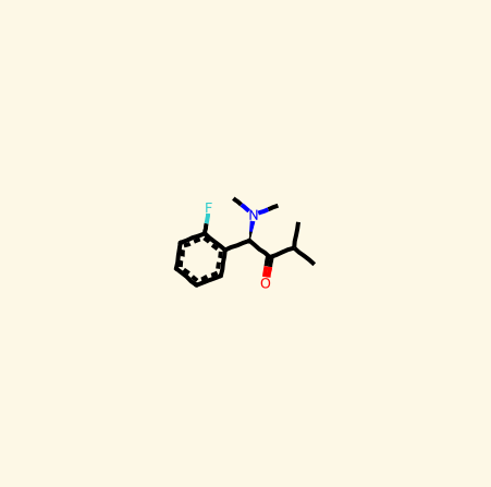 CC(C)C(=O)[C@@H](c1ccccc1F)N(C)C